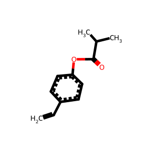 C=Cc1ccc(OC(=O)C(C)C)cc1